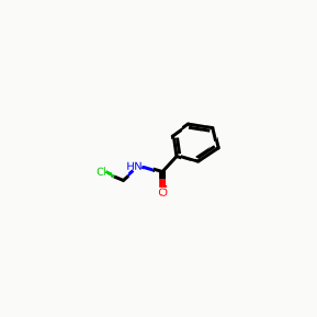 O=C(NCCl)c1ccccc1